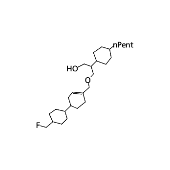 CCCCCC1CCC(C(CO)COCC2=CCC(C3CCC(CF)CC3)CC2)CC1